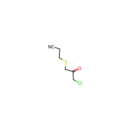 N#CCCSCC(=O)CCl